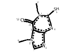 Cn1c(S)nc2ncn(C)c2c1=O